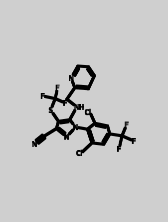 N#Cc1nn(-c2c(Cl)cc(C(F)(F)F)cc2Cl)c(NCc2ccccn2)c1SC(F)(F)F